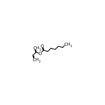 C=CC(=C)OC(=O)CCCCCC